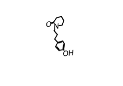 O=C1CCCCN1CCCc1ccc(O)cc1